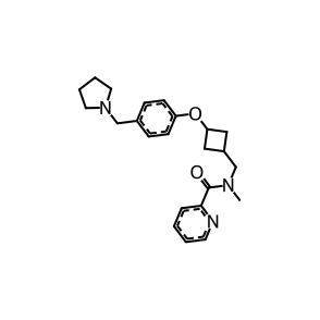 CN(CC1CC(Oc2ccc(CN3CCCC3)cc2)C1)C(=O)c1ccccn1